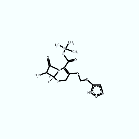 C[Si](C)(C)OC(=O)C1=C(SCSc2cnn[nH]2)CS[C@H]2C(N)C(=O)N12